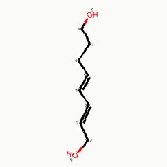 OCC=CC=CCCCO